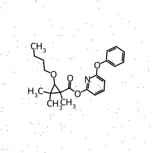 CCCCOC1C(C)(C)C1(C)C(=O)Oc1cccc(Oc2ccccc2)n1